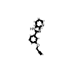 C#CCOc1cccc(-c2nc3ncccc3[nH]2)c1